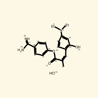 CCN(CC)c1ccc(C=C(C)C(=O)Oc2ccc(C(=N)N)cc2)c(O)c1.Cl